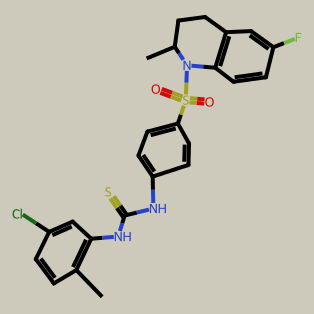 Cc1ccc(Cl)cc1NC(=S)Nc1ccc(S(=O)(=O)N2c3ccc(F)cc3CCC2C)cc1